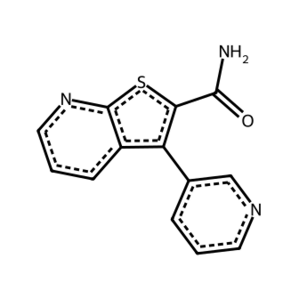 NC(=O)c1sc2ncccc2c1-c1cccnc1